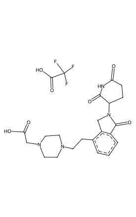 O=C(O)C(F)(F)F.O=C(O)CN1CCN(CCc2cccc3c2CN(C2CCC(=O)NC2=O)C3=O)CC1